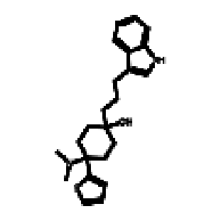 CN(C)C1(c2cccs2)CCC(O)(CCCc2c[nH]c3ccccc23)CC1